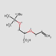 C=CCO[C@@H](CO[Si](C)(C)C(C)(C)C)C(=O)O